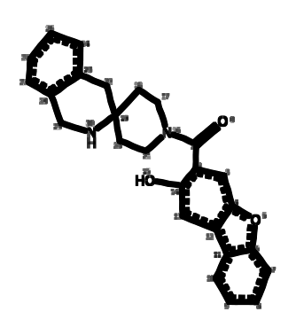 O=C(c1cc2oc3ccccc3c2cc1O)N1CCC2(CC1)Cc1ccccc1CN2